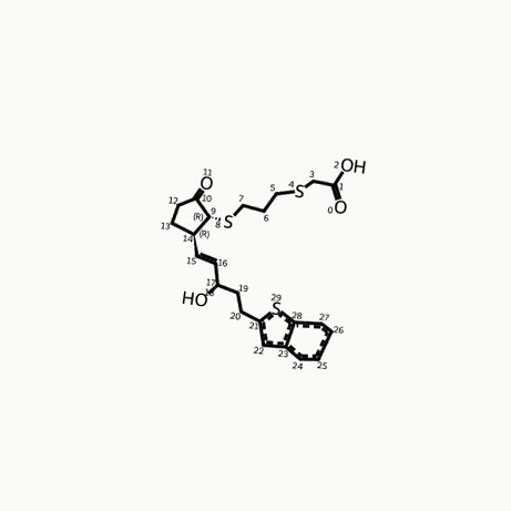 O=C(O)CSCCCS[C@H]1C(=O)CC[C@@H]1C=CC(O)CCc1cc2ccccc2s1